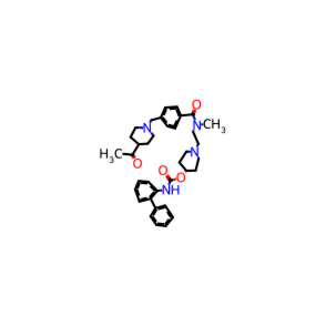 CC(=O)C1CCN(Cc2ccc(C(=O)N(C)CCN3CCC(OC(=O)Nc4ccccc4-c4ccccc4)CC3)cc2)CC1